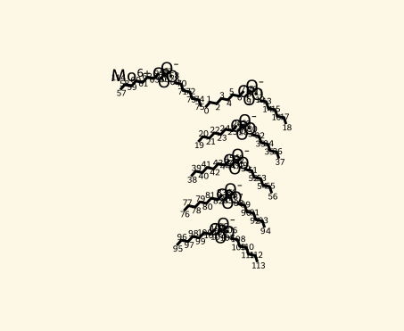 CCCCCCCOP(=O)([O-])OCCCCCCC.CCCCCCCOP(=O)([O-])OCCCCCCC.CCCCCCCOP(=O)([O-])OCCCCCCC.CCCCCCCOP(=O)([O-])OCCCCCCC.CCCCCCCOP(=O)([O-])OCCCCCCC.CCCCCCCOP(=O)([O-])OCCCCCCC.[Mo+6]